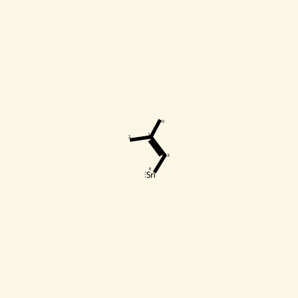 CC(C)=[CH][Sn]